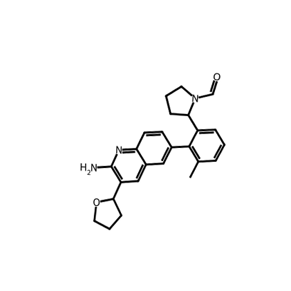 Cc1cccc(C2CCCN2C=O)c1-c1ccc2nc(N)c(C3CCCO3)cc2c1